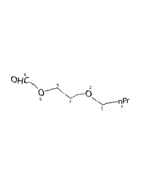 CCCCOCCOC=O